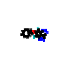 CC(C)c1c(N)c(F)c(OCC2(C)CC/C=C\CCC2)c(F)c1N